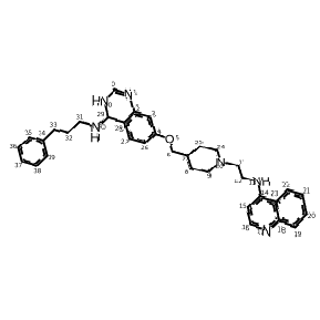 C1=Nc2cc(OCC3CCN(CCNc4ccnc5ccccc45)CC3)ccc2C(NCCCc2ccccc2)N1